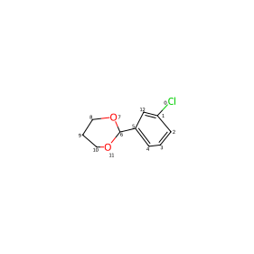 Clc1cccc(C2OCCCO2)c1